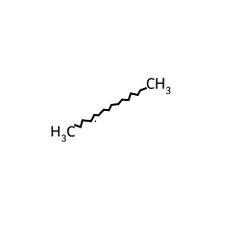 CCCC[CH]CCCCCCCCCCCCC